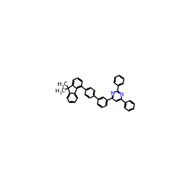 CC1(C)c2ccccc2-c2c(-c3ccc(-c4cccc(-c5cc(-c6ccccc6)nc(-c6ccccc6)n5)c4)cc3)cccc21